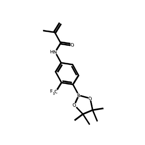 C=C(C)C(=O)Nc1ccc(B2OC(C)(C)C(C)(C)O2)c(C(F)(F)F)c1